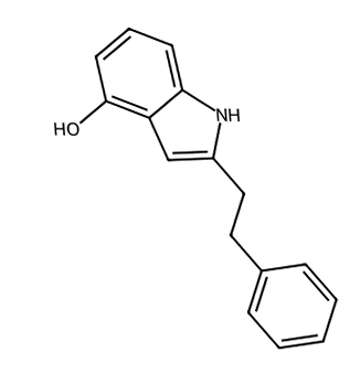 Oc1cccc2[nH]c(CCc3ccccc3)cc12